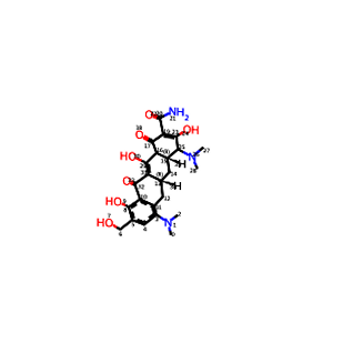 CN(C)c1cc(CO)c(O)c2c1C[C@H]1C[C@@H]3C(C(=O)C(C(N)=O)=C(O)C3N(C)C)C(O)=C1C2=O